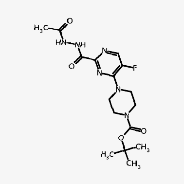 CC(=O)NNC(=O)c1ncc(F)c(N2CCN(C(=O)OC(C)(C)C)CC2)n1